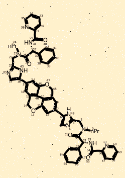 CCCN(Cc1ncc(-c2cc3c4c(c2)OCc2cc(-c5cnc(CN(CCC)C(=O)[C@H](NC(=O)c6ccccn6)c6ccccc6)[nH]5)cc(c2-4)OC3)[nH]1)C(=O)[C@H](NC(=O)c1ccccn1)c1ccccc1